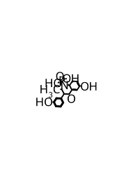 CCC(C(=O)C1=CC(O)=CCC1=NP(=O)(O)O)c1cccc(O)c1